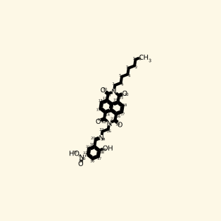 CCCCCCCCN1C(=O)c2ccc3c4c(ccc(c24)C1=O)C(=O)N(CCN=Cc1cc([N+](=O)O)ccc1O)C3=O